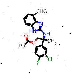 CC(C)(C)C(=O)OCC(C)(Nc1nc2c(C=O)cccc2[nH]1)c1ccc(F)c(Cl)c1